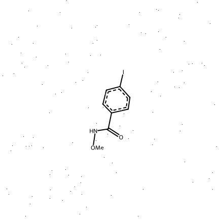 CONC(=O)c1ccc(I)cc1